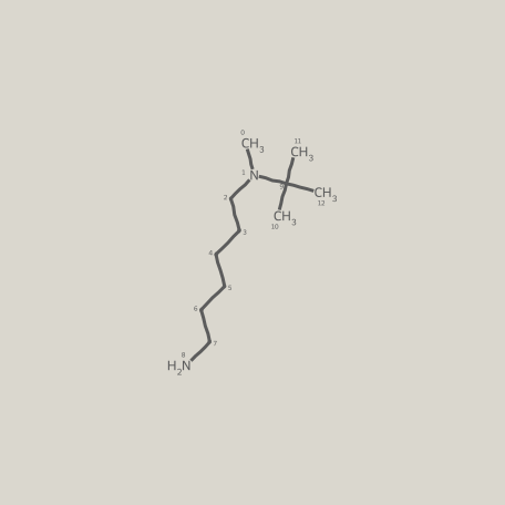 CN(CCCCCCN)C(C)(C)C